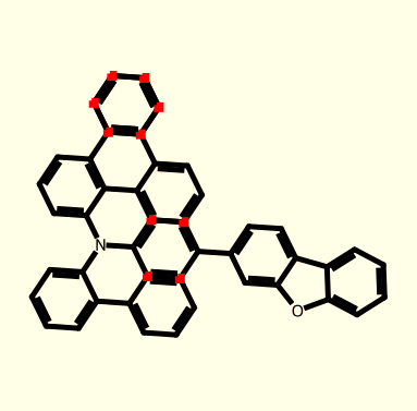 c1ccc(-c2ccccc2-c2c(-c3ccccc3)cccc2N(c2ccc(-c3ccc4c(c3)oc3ccccc34)cc2)c2ccccc2-c2ccccc2)cc1